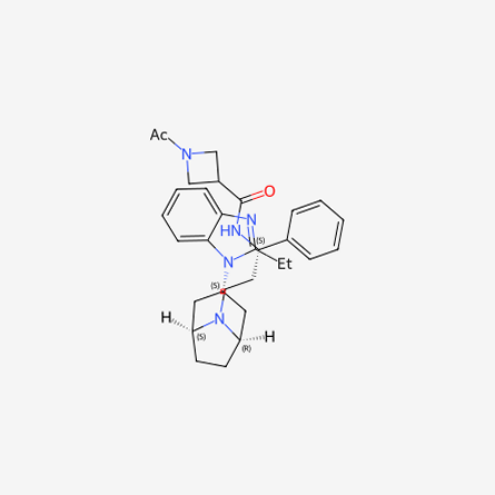 CCc1nc2ccccc2n1[C@@H]1C[C@H]2CC[C@@H](C1)N2CC[C@H](NC(=O)C1CN(C(C)=O)C1)c1ccccc1